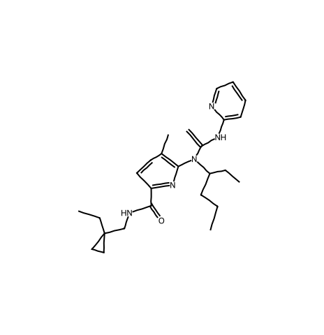 C=C(Nc1ccccn1)N(c1nc(C(=O)NCC2(CC)CC2)ccc1C)C(CC)CCC